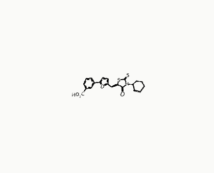 O=C(O)c1cccc(-c2ccc(/C=C3\SC(=S)N(C4CCCCC4)C3=O)o2)c1